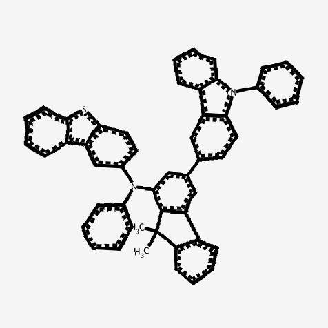 CC1(C)c2ccccc2-c2cc(-c3ccc4c(c3)c3ccccc3n4-c3ccccc3)cc(N(c3ccccc3)c3ccc4sc5ccccc5c4c3)c21